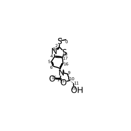 CSc1nc2ccc(N3C[C@H](CO)OC3=O)cc2s1